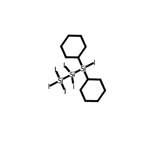 I[Si](I)(I)[Si](I)(I)[Si](I)(C1CCCCC1)C1CCCCC1